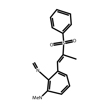 C=Nc1c(/C=C(\C)S(=O)(=O)c2ccccc2)cccc1NC